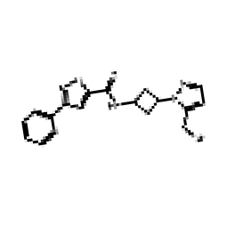 O=C(NC1CC(n2nccc2CO)C1)c1cc(-c2ccccc2)no1